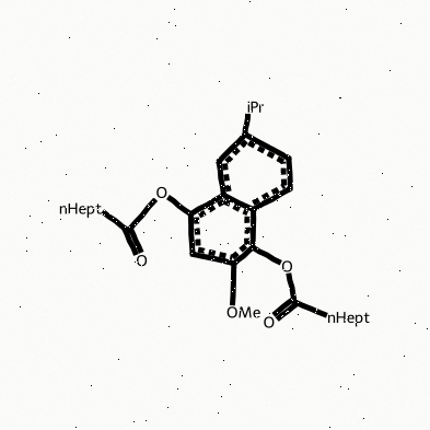 CCCCCCCC(=O)Oc1cc(OC)c(OC(=O)CCCCCCC)c2ccc(C(C)C)cc12